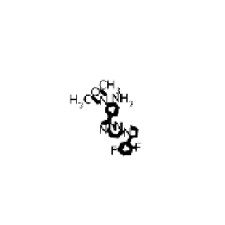 CC1CN(c2cc(-c3cnc4ccc(N5CCCC5c5cc(F)ccc5F)nn34)ccc2N)CC(C)O1